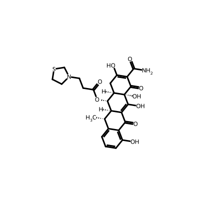 C[C@H]1c2cccc(O)c2C(=O)C2=C(O)[C@]3(O)C(=O)C(C(N)=O)=C(O)C[C@@H]3[C@@H](OC(=O)CCN3CCSC3)[C@@H]21